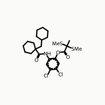 CSC(C)(SC)C(=O)Oc1cc(Cl)c(Cl)cc1NC(=O)C1(CC2CCCCC2)CCCCC1